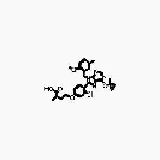 COc1ccc(C)cc1Cn1c(-c2ccc(OCCC(C)C(=O)O)cc2Cl)nc2c(OC3(C)CC3)ncnc21